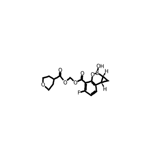 O=C(OCOC(=O)C1CCOCC1)c1c(F)ccc2c1OB(O)[C@@H]1C[C@H]21